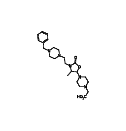 CC1C(N2CCN(CC(=O)O)CC2)OC(=O)N1CCN1CCN(Cc2ccccc2)CC1